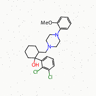 COc1ccccc1N1CCN(CC2CCCCC2(O)c2cccc(Cl)c2Cl)CC1